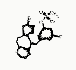 CS(=O)(=O)Nc1cc(F)cc(/C=C2\c3ccc(F)cc3CCc3ncccc32)c1